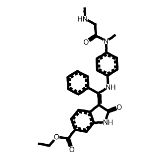 CCOC(=O)c1ccc2c(c1)NC(=O)/C2=C(\Nc1ccc(N(C)C(=O)CNC)cc1)c1ccccc1